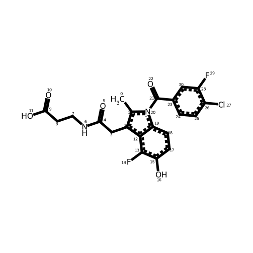 Cc1c(CC(=O)NCCC(=O)O)c2c(F)c(O)ccc2n1C(=O)c1ccc(Cl)c(F)c1